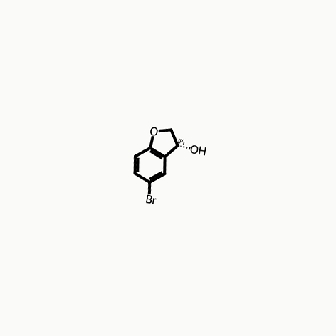 O[C@H]1COc2ccc(Br)cc21